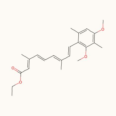 CCOC(=O)C=C(C)C=CC=C(C)C=Cc1c(C)cc(OC)c(C)c1OC